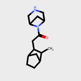 CC1C2CCC(C2)C1CC(=O)N1C2CNCC1C2